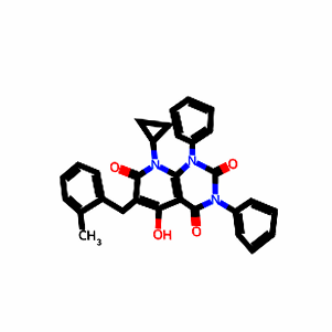 Cc1ccccc1Cc1c(O)c2c(=O)n(-c3ccccc3)c(=O)n(-c3ccccc3)c2n(C2CC2)c1=O